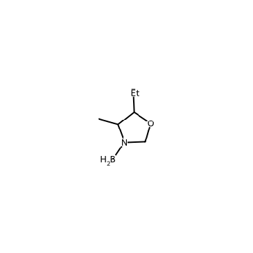 BN1COC(CC)C1C